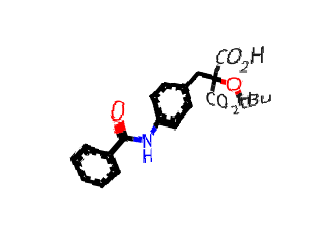 CC(C)(C)OC(Cc1ccc(NC(=O)c2ccccc2)cc1)(C(=O)O)C(=O)O